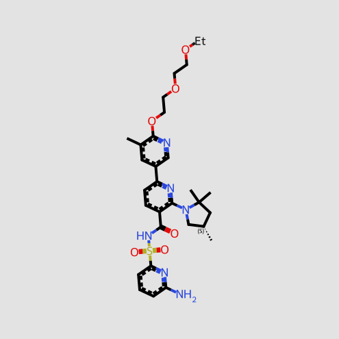 CCOCCOCCOc1ncc(-c2ccc(C(=O)NS(=O)(=O)c3cccc(N)n3)c(N3C[C@@H](C)CC3(C)C)n2)cc1C